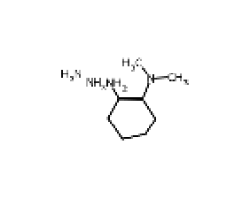 CN(C)C1CCCCC1N.N.N